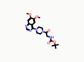 COc1cc2ncnc(N3CCN(C(=O)CNC(=O)OC(C)(C)C)CC3)c2cc1OC